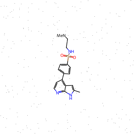 CNCCNS(=O)(=O)c1ccc(-c2ccnc3[nH]c(C)cc23)cc1